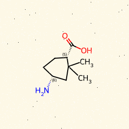 CC1(C)C[C@H](N)CC[C@@H]1C(=O)O